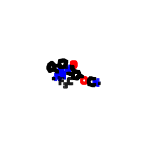 CN1CCC(OCc2cc3c(c(C(F)(F)F)c2)CN(c2cccc(-c4ccccc4-c4nncn4C)c2)C3=O)CC1